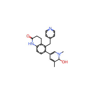 CC1=CC(c2ccc3c(c2Cc2ccncc2)CCC(=O)N3)=CN(C)C1O